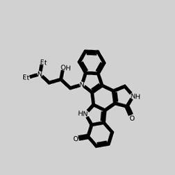 CCN(CC)CC(O)Cn1c2c(c3ccccc31)C1=C(C(=O)NC1)C1=C3CC=CC(=O)C3NC12